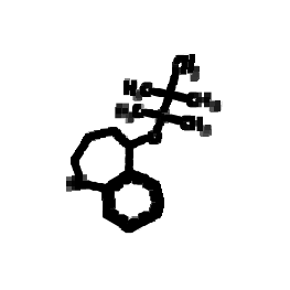 CC(C)(C)[Si](C)(C)OC1CCCNc2ccccc21